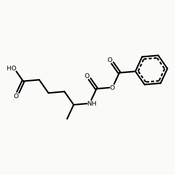 CC(CCCC(=O)O)NC(=O)OC(=O)c1ccccc1